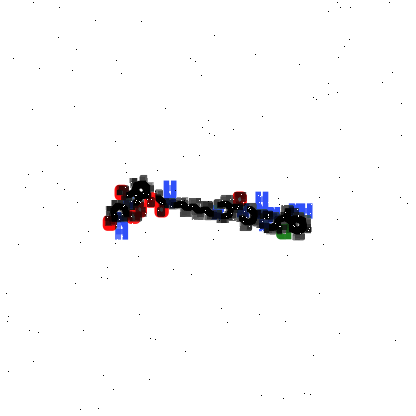 O=C(COc1cccc2c1C(=O)N(C1CCC(=O)NC1=O)C2=O)NCCCCCCCN1CCC(C(=O)N2CCC[C@@H](Nc3ncc(Cl)c(-c4c[nH]c5ccccc45)n3)C2)CC1